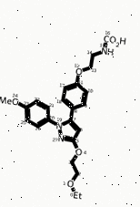 CCOCCOc1cc(-c2ccc(OCCNC(=O)O)cc2)n(-c2ccc(OC)cc2)n1